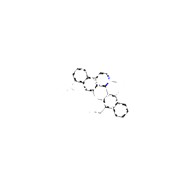 Cc1c2c(c(CC(C)C)c3ccccc13)Sc1cc3c([Si](C)(C)C)cccc3c3cc[n+](C)c-2c13